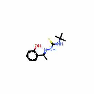 CC(=NNC(=S)NC(C)(C)C)c1ccccc1O